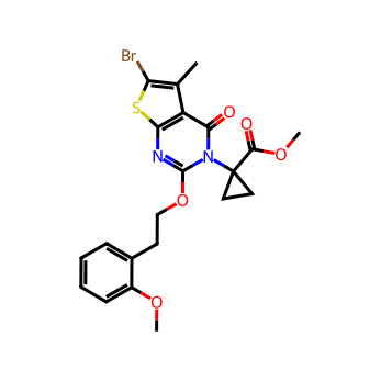 COC(=O)C1(n2c(OCCc3ccccc3OC)nc3sc(Br)c(C)c3c2=O)CC1